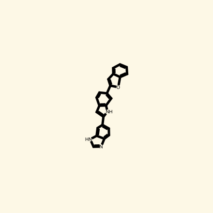 c1ccc2oc(-c3ccc4cc(-c5ccc6nc[nH]c6c5)[nH]c4c3)cc2c1